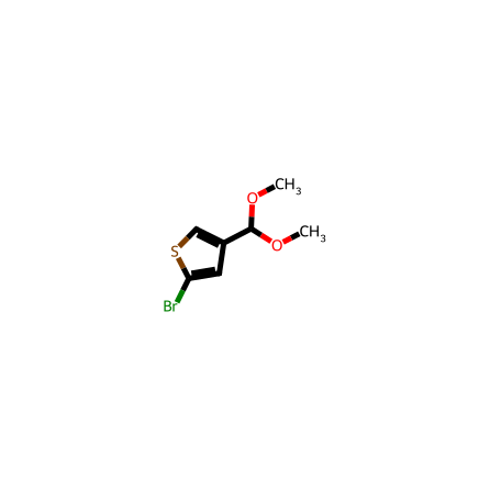 COC(OC)c1csc(Br)c1